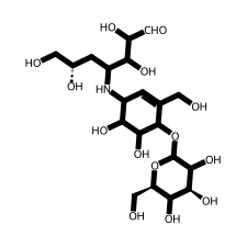 O=CC(O)C(O)C(C[C@H](O)CO)NC1C=C(CO)C(OC2O[C@H](CO)C(O)[C@H](O)C2O)C(O)C1O